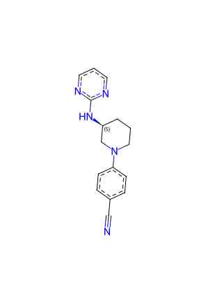 N#Cc1ccc(N2CCC[C@H](Nc3ncccn3)C2)cc1